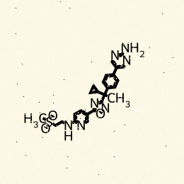 CC(c1ccc(-c2cnc(N)nc2)cc1)(c1noc(-c2ccc(NCCS(C)(=O)=O)nc2)n1)C1CC1